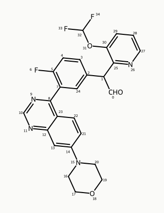 O=CC(c1ccc(F)c(-c2ncnc3cc(N4CCOCC4)ccc23)c1)c1ncccc1OC(F)F